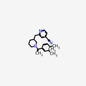 C=C(C(/C=C\C(C)C)=C/CC)N1CCCC(Cc2cc(C#N)ccn2)C1